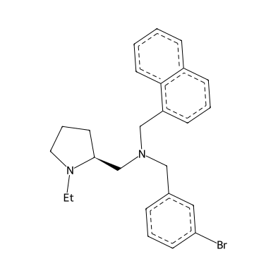 CCN1CCC[C@H]1CN(Cc1cccc(Br)c1)Cc1cccc2ccccc12